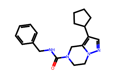 O=C(NCc1ccccc1)N1CCn2ncc(C3CCCC3)c2C1